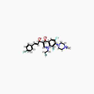 CC(=O)N1CCN(c2c(F)cc3c(=O)c(C(=O)C=Cc4ccc(F)cc4)cn(CCF)c3c2F)CC1